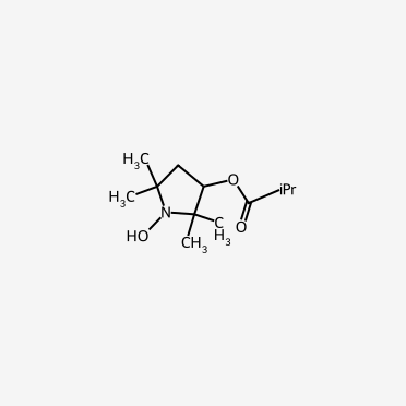 CC(C)C(=O)OC1CC(C)(C)N(O)C1(C)C